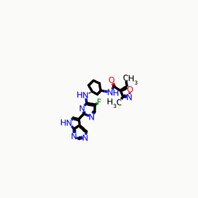 Cc1noc(C)c1C(=O)NC1CCC[C@@H](Nc2nc(-c3c[nH]c4ncncc34)ncc2F)C1